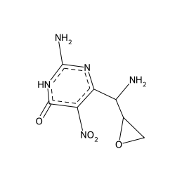 Nc1nc(C(N)C2CO2)c([N+](=O)[O-])c(=O)[nH]1